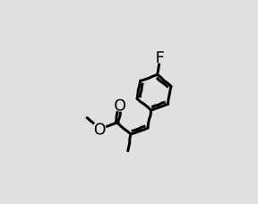 COC(=O)C(C)=Cc1ccc(F)cc1